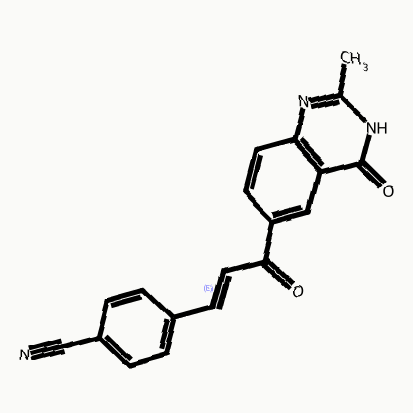 Cc1nc2ccc(C(=O)/C=C/c3ccc(C#N)cc3)cc2c(=O)[nH]1